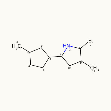 CCC1NC(C2CCC(C)C2)CC1C